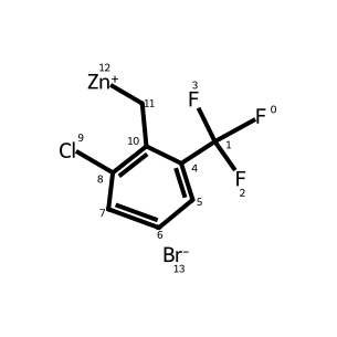 FC(F)(F)c1cccc(Cl)c1[CH2][Zn+].[Br-]